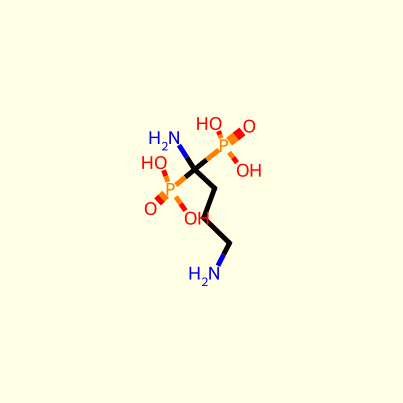 NCCCC(N)(P(=O)(O)O)P(=O)(O)O